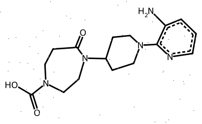 Nc1cccnc1N1CCC(N2CCN(C(=O)O)CCC2=O)CC1